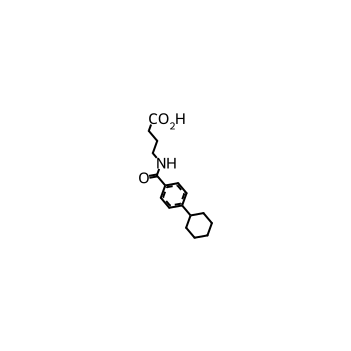 O=C(O)CCCNC(=O)c1ccc(C2CCCCC2)cc1